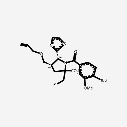 C=CCOC[C@@H]1CC(CC(C)C)(C(=O)O)N(C(=O)c2ccc(C(C)(C)C)c(OC)c2)[C@H]1c1nccs1